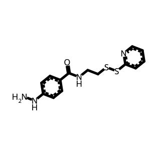 NNc1ccc(C(=O)NCCSSc2ccccn2)cc1